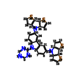 c1ncnc(-n2c3ccc(-n4c5ccsc5c5sccc54)cc3c3cc(-n4c5ccsc5c5sccc54)ccc32)n1